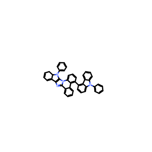 C1=CCC2C(=C1)c1nc3c4ccccc4c4c(-c5cccc6c5c5ccccc5n6-c5ccccc5)cccc4n3c1N2c1ccccc1